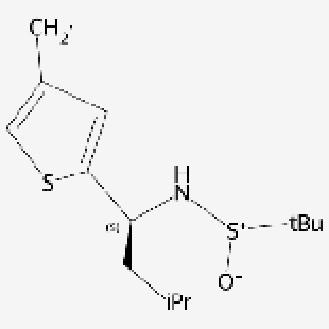 [CH2]c1csc([C@H](CC(C)C)N[S+]([O-])C(C)(C)C)c1